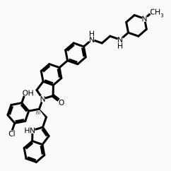 CN1CCC(NCCNc2ccc(-c3ccc4c(c3)C(=O)N([C@@H](Cc3cc5ccccc5[nH]3)c3cc(Cl)ccc3O)C4)cc2)CC1